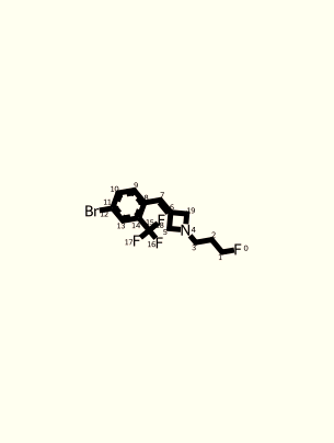 FCCCN1CC(=Cc2ccc(Br)cc2C(F)(F)F)C1